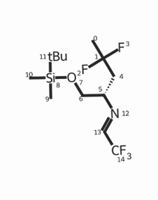 CC(F)(F)C[C@@H](CO[Si](C)(C)C(C)(C)C)/N=C/C(F)(F)F